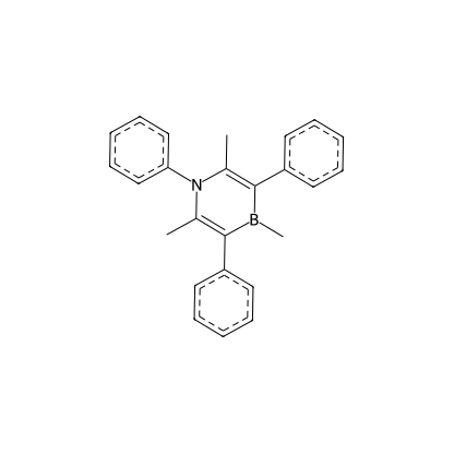 CB1C(c2ccccc2)=C(C)N(c2ccccc2)C(C)=C1c1ccccc1